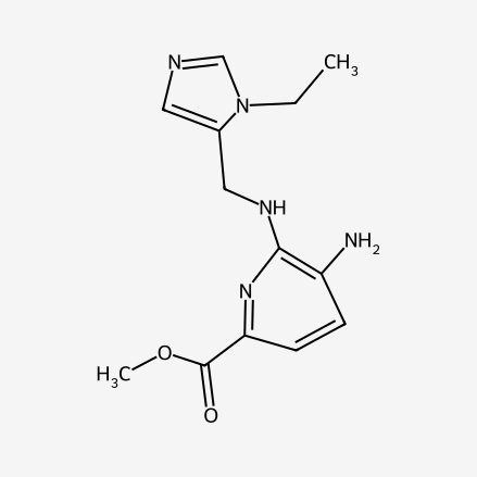 CCn1cncc1CNc1nc(C(=O)OC)ccc1N